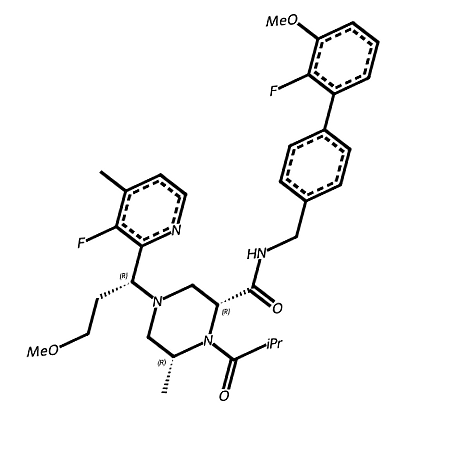 COCC[C@H](c1nccc(C)c1F)N1C[C@@H](C)N(C(=O)C(C)C)[C@@H](C(=O)NCc2ccc(-c3cccc(OC)c3F)cc2)C1